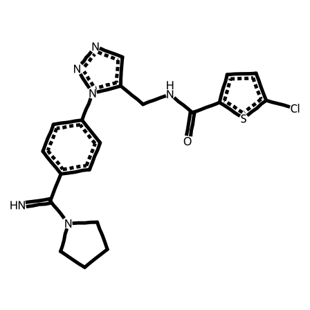 N=C(c1ccc(-n2nncc2CNC(=O)c2ccc(Cl)s2)cc1)N1CCCC1